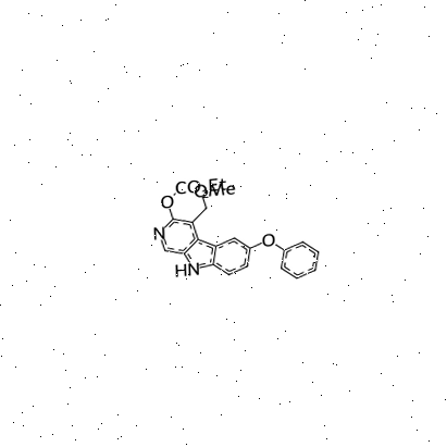 CCOC(=O)Oc1ncc2[nH]c3ccc(Oc4ccccc4)cc3c2c1COC